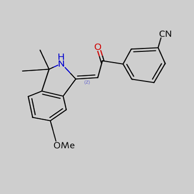 COc1ccc2c(c1)/C(=C/C(=O)c1cccc(C#N)c1)NC2(C)C